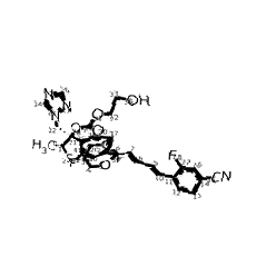 C[C@@H](S[C@H]1CO[C@H](/C=C/C=C/c2ccc(C#N)cc2F)OC1)[C@@](Cn1cncn1)(OC(=O)OCCO)c1ccc(F)cc1F